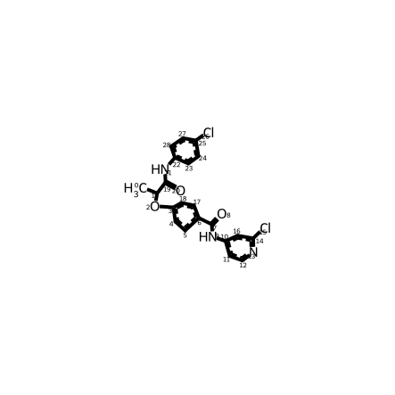 CC(Oc1ccc(C(=O)Nc2ccnc(Cl)c2)cc1)C(=O)Nc1ccc(Cl)cc1